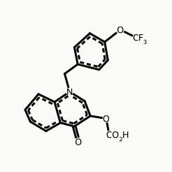 O=C(O)Oc1cn(Cc2ccc(OC(F)(F)F)cc2)c2ccccc2c1=O